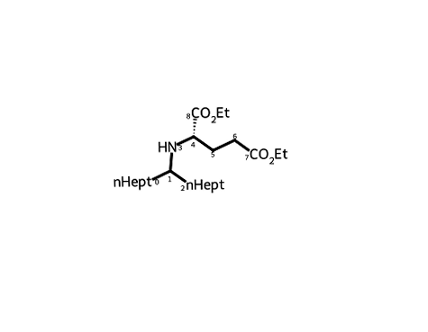 CCCCCCCC(CCCCCCC)N[C@@H](CCC(=O)OCC)C(=O)OCC